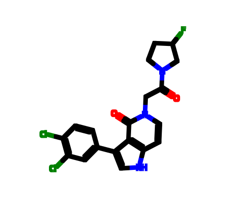 O=C(Cn1ccc2[nH]cc(-c3ccc(Cl)c(Cl)c3)c2c1=O)N1CCC(F)C1